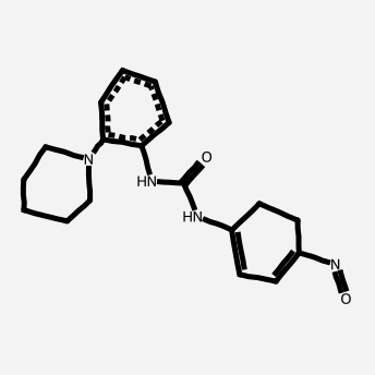 O=NC1=CC=C(NC(=O)Nc2ccccc2N2CCCCC2)CC1